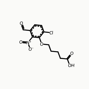 O=Cc1ccc(Cl)c(OCCCCC(=O)O)c1[N+](=O)[O-]